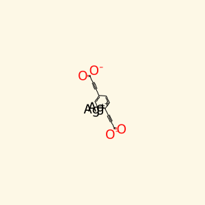 O=C([O-])C#Cc1ccc(C#CC(=O)[O-])cc1.[Ag+].[Ag+]